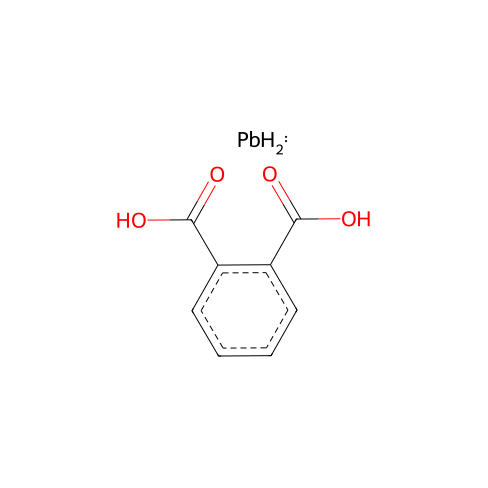 O=C(O)c1ccccc1C(=O)O.[PbH2]